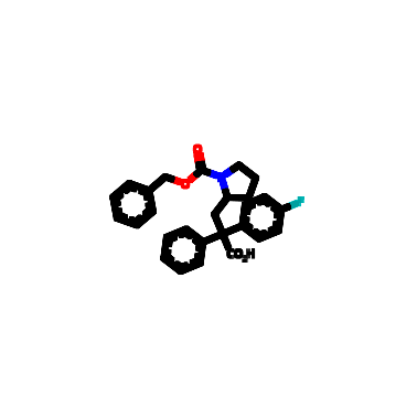 O=C(OCc1ccccc1)N1CCCC1CC(C(=O)O)(c1ccccc1)c1ccc(F)cc1